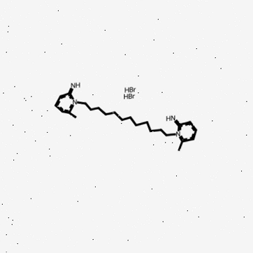 Br.Br.Cc1cccc(=N)n1CCCCCCCCCCCCn1c(C)cccc1=N